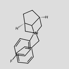 Fc1ccc(NC2[C@@H]3CC[C@H]2CN(Cc2ccccc2)C3)cc1